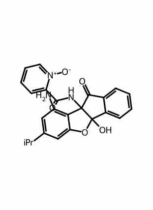 CC(C)c1cc(N)c2c(c1)OC1(O)c3ccccc3C(=O)C21NC(=O)c1cccc[n+]1[O-]